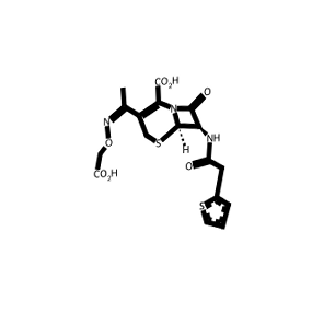 C/C(=N/OCC(=O)O)C1=C(C(=O)O)N2C(=O)[C@@H](NC(=O)Cc3cccs3)[C@H]2SC1